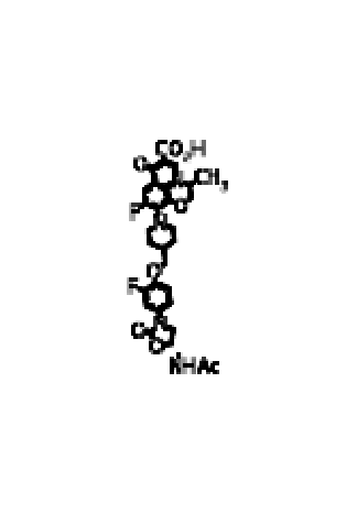 CC(=O)NC[C@H]1CN(c2ccc(OCC3CCN(c4c(F)cc5c(=O)c(C(=O)O)cn6c5c4OCC6C)CC3)c(F)c2)C(=O)O1